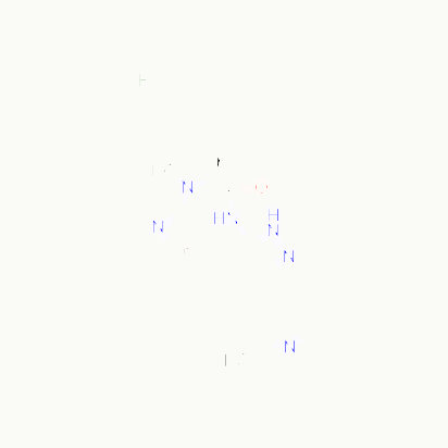 Cc1cc(-c2cc(NC(=O)[C@H](Cc3ccc(F)cc3)N(C)c3cscn3)[nH]n2)ccn1